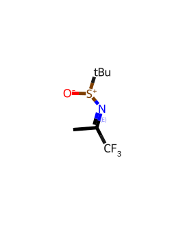 C/C(=N\[S+]([O-])C(C)(C)C)C(F)(F)F